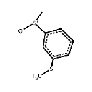 C[S+]([O-])c1cccc(SC(F)(F)F)c1